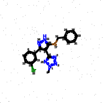 Cn1nnc(-c2c(-c3cccc(Br)c3)n[nH]c2SCc2ccccc2)n1